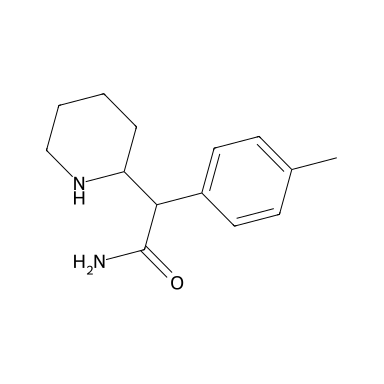 Cc1ccc(C(C(N)=O)C2CCCCN2)cc1